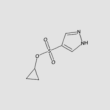 O=S(=O)(OC1CC1)c1cn[nH]c1